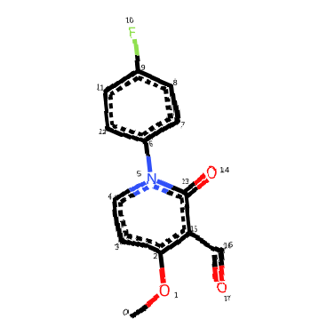 COc1ccn(-c2ccc(F)cc2)c(=O)c1C=O